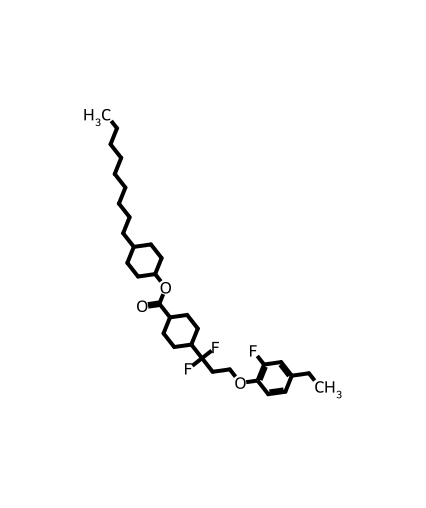 CCCCCCCCCC1CCC(OC(=O)C2CCC(C(F)(F)CCOc3ccc(CC)cc3F)CC2)CC1